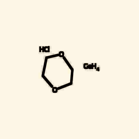 C1COCCO1.Cl.[GeH4]